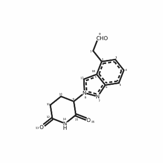 O=CCc1cccc2nn(C3CCC(=O)NC3=O)cc12